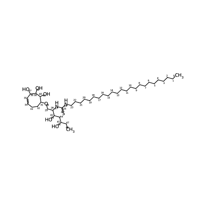 CCCCCCCCCCCCCCCCCCCCCCCCNC(=S)NC(COC1CC/C=C\C(O)C(O)C1O)C(O)CC(O)CC